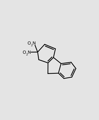 O=[N+]([O-])C1([N+](=O)[O-])C=CC2=C(Cc3ccccc32)C1